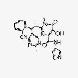 Cc1ncc([C@H](c2ccccc2C#N)[C@H](C)c2nc(C(=O)Nc3cnoc3)c(O)c(=O)n2C)cn1